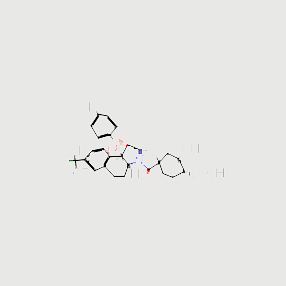 CCCCC1(C(=O)N2CC[C@]3(S(=O)(=O)c4ccc(F)cc4)c4ccc(C(F)(C(F)(F)F)C(F)(F)F)cc4CC[C@H]23)CC[C@@H](C(=O)O)[C@@H](C)C1